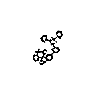 CC1(C)c2ccccc2C2(c3ccccc3-c3ccc(-c4cccc(-c5nc(-c6ccccc6)nc(-c6ccccn6)n5)c4)cc32)c2ccccc21